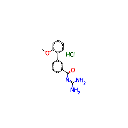 COc1ccccc1-c1cccc(C(=O)N=C(N)N)c1.Cl